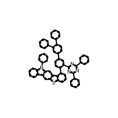 c1ccc(-c2nc(-c3ccccc3)nc(-c3cc(-c4ccc(-c5ccccc5)c(-c5ccccc5)c4)ccc3-c3cccc4sc5cc6c7ccccc7n(-c7ccccc7)c6cc5c34)n2)cc1